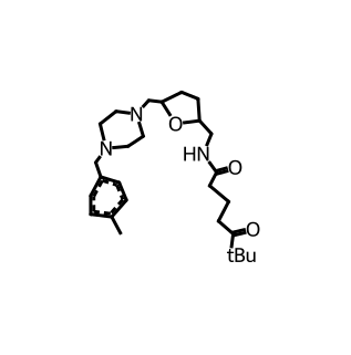 Cc1ccc(CN2CCN(CC3CCC(CNC(=O)CCCC(=O)C(C)(C)C)O3)CC2)cc1